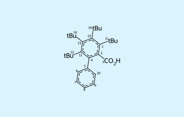 CC(C)(C)c1c(C(=O)O)c(-c2ccccc2)c(C(C)(C)C)c(C(C)(C)C)c1C(C)(C)C